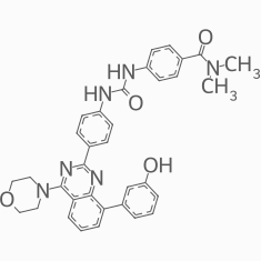 CN(C)C(=O)c1ccc(NC(=O)Nc2ccc(-c3nc(N4CCOCC4)c4cccc(-c5cccc(O)c5)c4n3)cc2)cc1